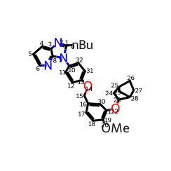 CCCCc1nc2cccnc2n1-c1ccc(OCc2ccc(OC)c(OC3CC4CCC3C4)c2)cc1